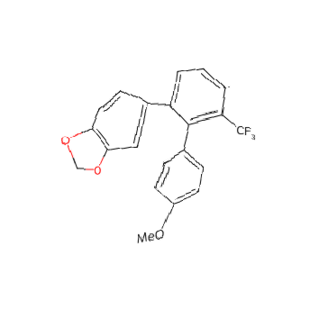 COc1ccc(-c2c(C(F)(F)F)[c]ccc2-c2ccc3c(c2)OCO3)cc1